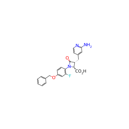 Nc1cc(C[C@H]2C(=O)N(c3ccc(OCc4ccccc4)cc3F)[C@@H]2C(=O)O)ccn1